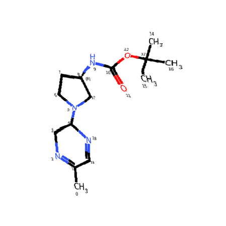 CC1=NCC(N2CC[C@@H](NC(=O)OC(C)(C)C)C2)N=C1